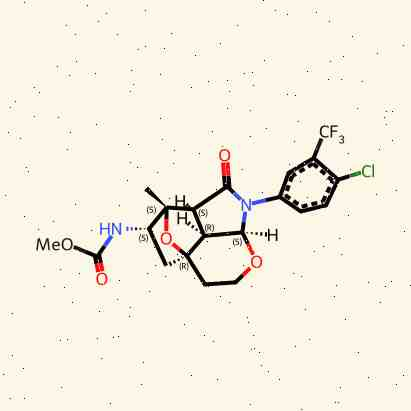 COC(=O)N[C@H]1C[C@@]23CCO[C@H]4[C@@H]2[C@H](C(=O)N4c2ccc(Cl)c(C(F)(F)F)c2)[C@]1(C)O3